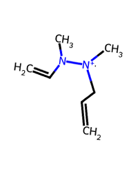 C=CC[N+](C)N(C)C=C